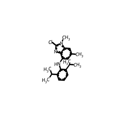 Cc1cc(Nc2c(C(C)C)cccc2C(C)C)c2nc(Cl)n(C)c2c1